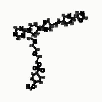 Cc1ccc(S(=O)(=O)OCCOCCOC[C@H]2CN(c3ncc(C#Cc4ccc(-c5cnco5)nc4)cn3)CCN2c2ncncn2)cc1